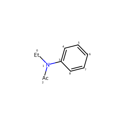 CCN(C(C)=O)c1cc[c]cc1